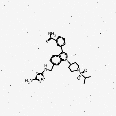 CC(C)S(=O)(=O)N1CCC(n2cc(-c3cccc(C(N)=S)c3)c3ccc(CNc4nnc(N)s4)cc32)CC1